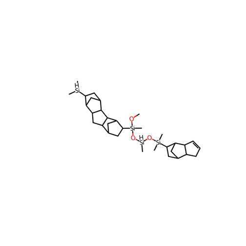 CO[Si](C)(O[SiH](C)O[Si](C)(C)C1CC2CC1C1C=CCC21)C1CC2CC1C1C2CC2C3CC(CC3[SiH](C)C)C21